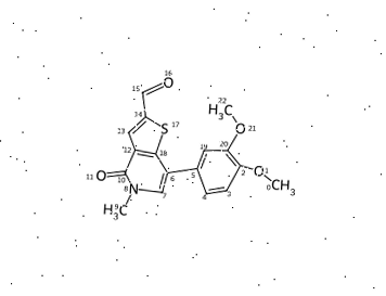 COc1ccc(-c2cn(C)c(=O)c3cc(C=O)sc23)cc1OC